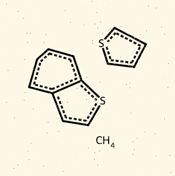 C.c1ccc2sccc2c1.c1ccsc1